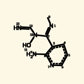 CN=C(c1cccnc1N)N(O)C=N